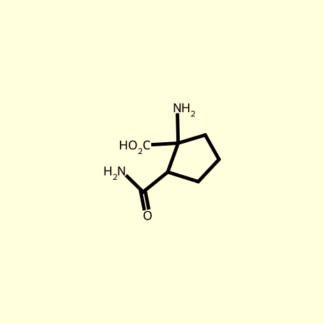 NC(=O)C1CCCC1(N)C(=O)O